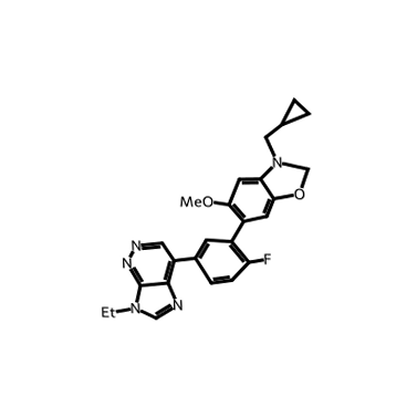 CCn1cnc2c(-c3ccc(F)c(-c4cc5c(cc4OC)N(CC4CC4)CO5)c3)cnnc21